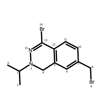 CC(C)N1Cc2cc(CBr)ccc2C(Br)=N1